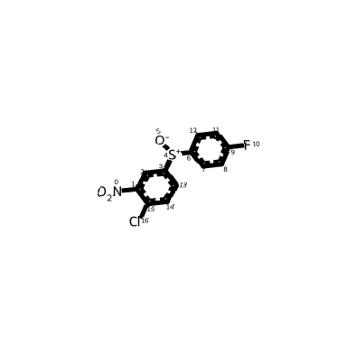 O=[N+]([O-])c1cc([S+]([O-])c2ccc(F)cc2)ccc1Cl